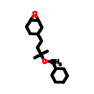 C[Si](C)(CCC1CCC2OC2C1)O[SiH2]C1CCCCC1